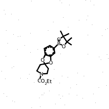 CCOC(=O)N1CCC2(CC1)Oc1ccc(B3OC(C)(C)C(C)(C)O3)cc1O2